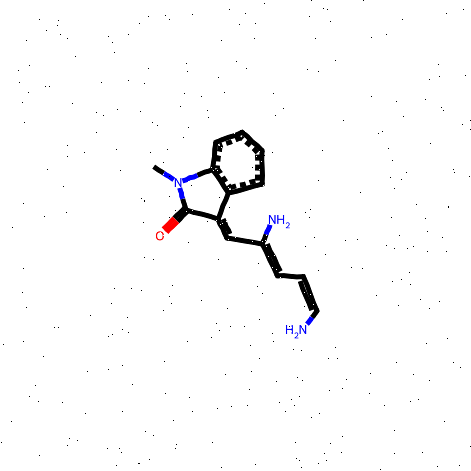 CN1C(=O)/C(=C/C(N)=C/C=C\N)c2ccccc21